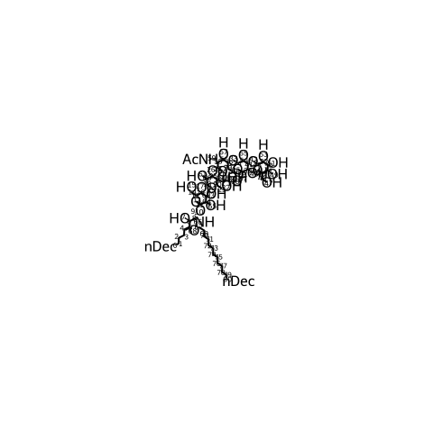 CCCCCCCCCCCCC/C=C/[C@@H](O)[C@H](CO[C@@H]1OC(CO)[C@@H](O[C@@H]2OC(CO)[C@H](O)[C@H](O[C@@H]3OC(CO)[C@@H](O[C@@H]4OC(CO)[C@H](O)[C@H](O[C@@H]5OC(CO)[C@H](O)[C@H](O)C5O)C4O)[C@H](O)C3NC(C)=O)C2O)[C@H](O)C1O)NC(=O)CCCCCCCCCCCCCCCCCCCCC